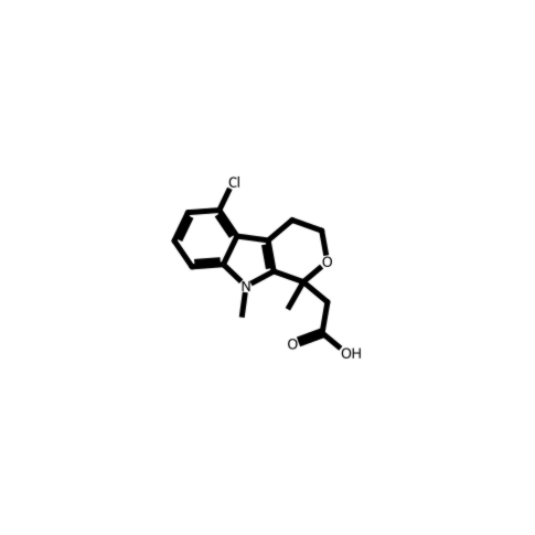 Cn1c2c(c3c(Cl)cccc31)CCOC2(C)CC(=O)O